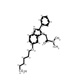 CN(C)C(=O)Cn1c(-c2ccccc2)nc2ccc(OCCCCCC(=O)O)cc21